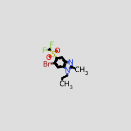 CCCn1c(C)nc2cc(S(=O)(=O)C(F)F)c(Br)cc21